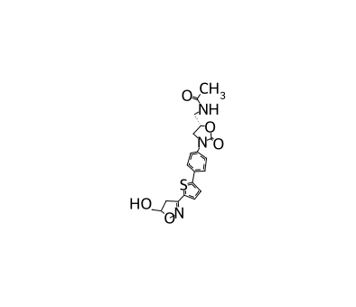 CC(=O)NC[C@H]1CN(c2ccc(-c3ccc(C4=NOC(CO)C4)s3)cc2)C(=O)O1